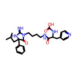 CC(C)CC1(c2ccccc2)NC(=N)N(CCCCNC(=O)C(Cc2ccncc2)NC(=O)O)C1=O